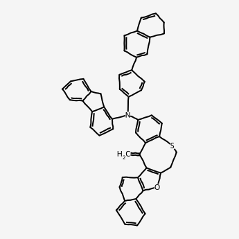 C=C1c2cc(N(c3ccc(-c4ccc5c(c4)CCC=C5)cc3)c3cccc4c3Cc3ccccc3-4)ccc2SCCc2oc3c(ccc4ccccc43)c21